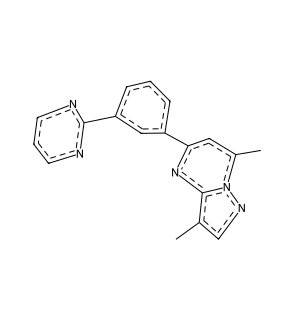 Cc1cnn2c(C)cc(-c3cccc(-c4ncccn4)c3)nc12